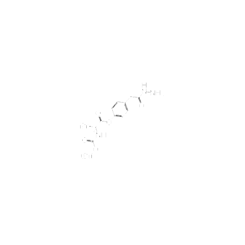 CC(C)[C@H](NC(=O)OC(C)(C)C)C(=O)Oc1ccc(CC(=O)NN)cc1